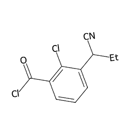 CCC(C#N)c1cccc(C(=O)Cl)c1Cl